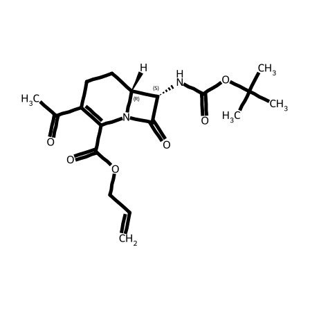 C=CCOC(=O)C1=C(C(C)=O)CC[C@@H]2[C@H](NC(=O)OC(C)(C)C)C(=O)N12